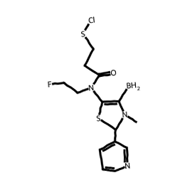 BC1=C(N(CCF)C(=O)CCSCl)SC(c2cccnc2)N1C